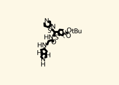 C[C@@H]1c2sc(NC(=O)CCNC3C[C@H]4CNC[C@H]4C3)c(-c3nc4cnccc4s3)c2CCN1C(=O)OC(C)(C)C